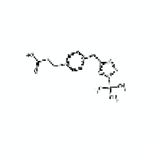 CC(C)(C)n1nnc(Cc2ccc(CCC(=O)O)cc2)n1